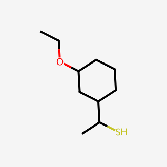 CCOC1CCCC(C(C)S)C1